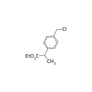 CCOC(=O)C(C)c1ccc(CCl)cc1